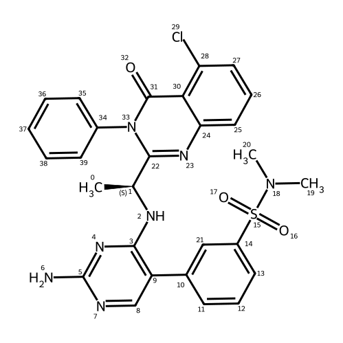 C[C@H](Nc1nc(N)ncc1-c1cccc(S(=O)(=O)N(C)C)c1)c1nc2cccc(Cl)c2c(=O)n1-c1ccccc1